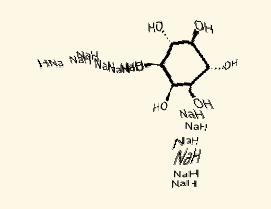 O[C@H]1[C@H](O)[C@@H](O)[C@H](O)[C@@H](O)[C@H]1O.[NaH].[NaH].[NaH].[NaH].[NaH].[NaH].[NaH].[NaH].[NaH].[NaH].[NaH].[NaH]